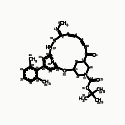 C\N=C1/C=C\C=N/C(=O)C2CC(CN(C(=O)OC(C)(C)C)C2)Oc2cc(-c3c(C)cccc3C)nc(n2)NS1